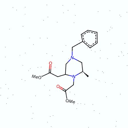 COC(=O)CC1CN(Cc2ccccc2)C[C@@H](C)N1CC(=O)OC